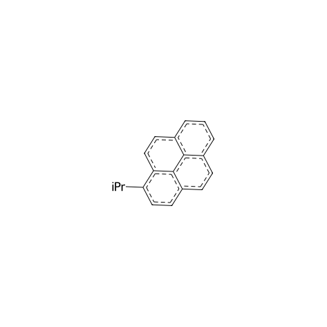 CC(C)c1ccc2ccc3cccc4ccc1c2c34